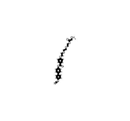 CCC(=O)OCCOCCOCCOc1ccc(C(=O)Oc2ccc(-c3ccc(OC#N)cc3)cc2)cc1